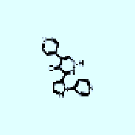 O=c1c(-c2ccncc2)c[nH]nc1-c1ccnn1-c1ccncc1